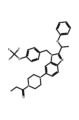 CCC(=O)N1CCN(c2ccc3nc(C(C)Oc4ccccc4)n(Cc4ccc(OC(F)(F)F)cc4)c3c2)CC1